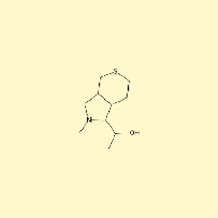 CC(O)C1C2CCSCC2CN1C